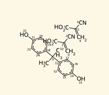 C=C(C#N)C(=O)O.C=C(C#N)C(=O)O.CC(C)(c1ccc(O)cc1)c1ccc(O)cc1